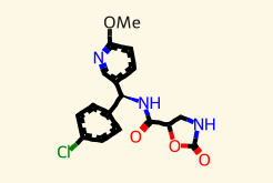 COc1ccc([C@@H](NC(=O)C2CNC(=O)O2)c2ccc(Cl)cc2)cn1